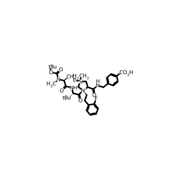 C[C@@H](C(=O)N[C@H](C(=O)[N@+]1(CCc2ccccc2F)C[Si](C)(C)CC1C(=O)NCc1ccc(C(=O)O)cc1)C(C)(C)C)N(C)C(=O)OC(C)(C)C